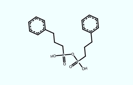 O=P(O)(CCCc1ccccc1)OP(=O)(O)CCCc1ccccc1